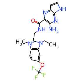 CCn1c(CNC(=O)c2nc3cc[nH]c3nc2N)[n+](C)c2ccc(OC(F)(F)F)cc21